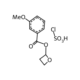 COc1cccc(C(=O)OC2CCO2)c1.O=S(=O)(O)Cl